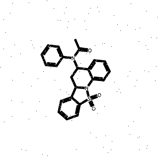 CC(=O)N(c1ccccc1)C1CC2c3ccccc3S(=O)(=O)N2c2ccccc21